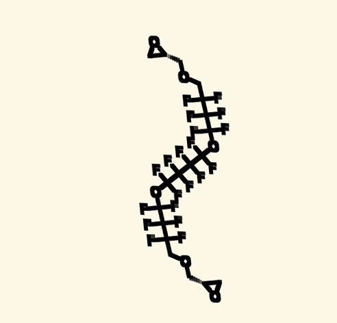 FC(F)(COC[C@@H]1CO1)C(F)(F)C(F)(F)OC(F)(F)C(F)(F)C(F)(F)C(F)(F)OC(F)(F)C(F)(F)C(F)(F)COC[C@@H]1CO1